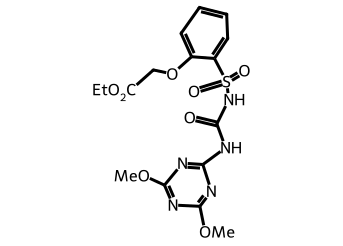 CCOC(=O)COc1ccccc1S(=O)(=O)NC(=O)Nc1nc(OC)nc(OC)n1